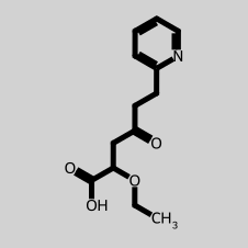 CCOC(CC(=O)CCc1ccccn1)C(=O)O